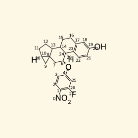 O=[N+]([O-])c1ccc(O[C@H]2CC34C[C@H]3CCC4C3CCc4cc(O)ccc4[C@H]32)cc1F